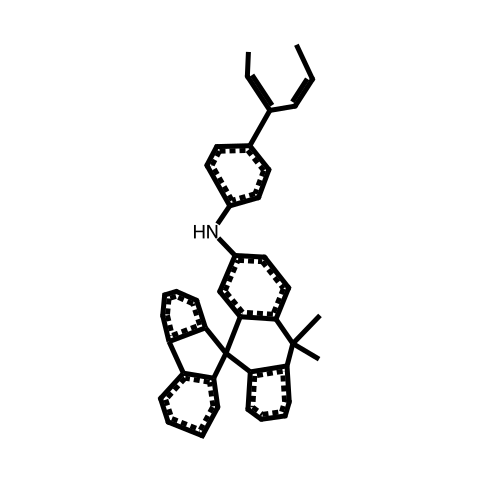 C/C=C\C(=C/C)c1ccc(Nc2ccc3c(c2)C2(c4ccccc4-c4ccccc42)c2ccccc2C3(C)C)cc1